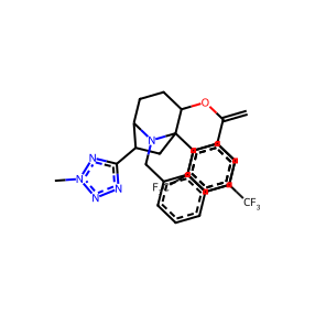 C=C(OC1CCC2C(c3nnn(C)n3)CC1(c1ccccc1)N2Cc1ccccc1)c1cc(C(F)(F)F)cc(C(F)(F)F)c1